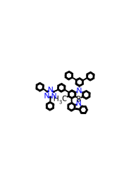 Cc1c(-c2cccc(-c3nc(-c4ccccc4)nc(-c4ccccc4)n3)c2)cc2c3c1-c1cccc4c5ccccc5n(c14)B3c1ccccc1N2c1cc(-c2ccccc2)cc(-c2ccccc2)c1